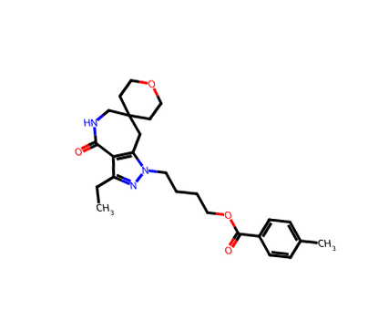 CCc1nn(CCCCOC(=O)c2ccc(C)cc2)c2c1C(=O)NCC1(CCOCC1)C2